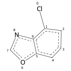 Clc1cccc2ocnc12